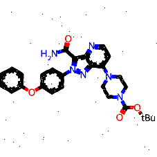 CC(C)(C)OC(=O)N1CCN(c2ccnc3c(C(N)=O)n(-c4ccc(Oc5ccccc5)cc4)nc23)CC1